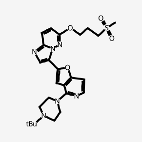 CC(C)(C)N1CCN(c2nccc3oc(-c4cnc5ccc(OCCCS(C)(=O)=O)nn45)cc23)CC1